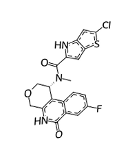 CN(C(=O)c1cc2sc(Cl)cc2[nH]1)[C@H]1COCc2[nH]c(=O)c3cc(F)ccc3c21